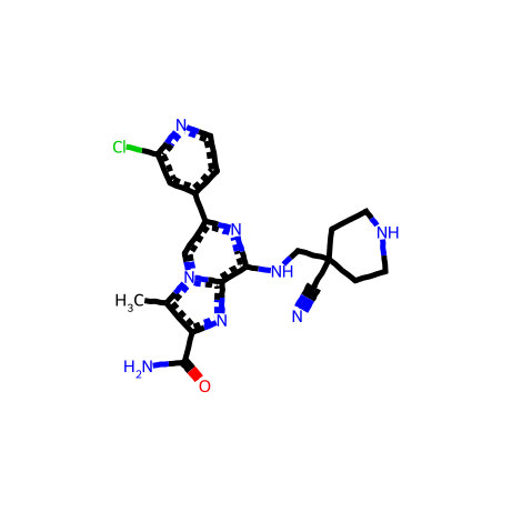 Cc1c(C(N)=O)nc2c(NCC3(C#N)CCNCC3)nc(-c3ccnc(Cl)c3)cn12